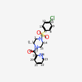 C[C@@H]1CN(S(=O)(=O)c2ccc(Cl)cc2)CCN1C(=O)c1ccccn1